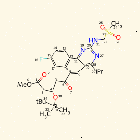 COC(=O)CC(CC(=O)/C=C/c1c(-c2ccc(F)cc2)nc(NCS(C)(=O)=O)nc1C(C)C)O[Si](C)(C)C(C)(C)C